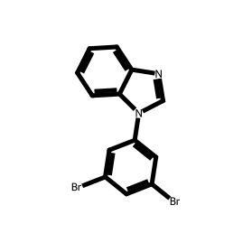 Brc1cc(Br)cc(-n2cnc3ccccc32)c1